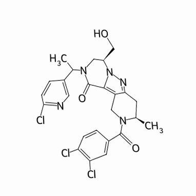 CC(c1ccc(Cl)nc1)N1C[C@@H](CO)n2nc3c(c2C1=O)CN(C(=O)c1ccc(Cl)c(Cl)c1)[C@H](C)C3